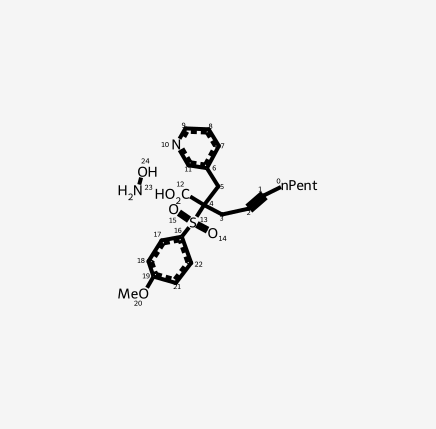 CCCCCC#CCC(Cc1cccnc1)(C(=O)O)S(=O)(=O)c1ccc(OC)cc1.NO